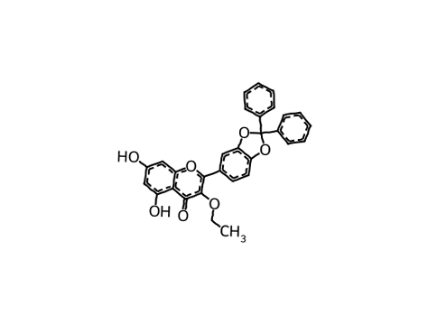 CCOc1c(-c2ccc3c(c2)OC(c2ccccc2)(c2ccccc2)O3)oc2cc(O)cc(O)c2c1=O